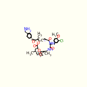 COc1ccc(C[C@H]2NC(=O)/C=C/CC([C@H](C)[C@H]3O[C@@H]3c3ccc(CN)cc3)OC(=O)[C@H](CC(C)C)OC(=O)C(C)(C)CNC2=O)cc1Cl